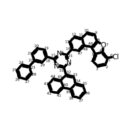 Clc1cccc2c1oc1ccc3ccc(-c4nc(-c5cccc(-c6ccccc6)c5)nc(-c5cc6ccccc6c6ccccc56)n4)cc3c12